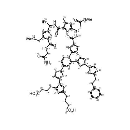 CNC(=O)C[C@H](NC(=O)c1csc(-c2ccc(-c3nc(-n4cc(CCCC(=O)O)nc4CCCC(=O)O)cs3)nc2-c2csc(-c3csc(CCc4ccccc4)n3)n2)n1)c1nc(C(=O)NC(c2nc(C(=O)NCC(N)=O)c(COC)s2)C(C)C)c(C)s1